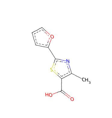 Cc1nc(-c2ccco2)sc1C(=O)O